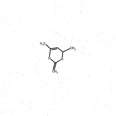 C=C1OC(C)=CC(C)O1